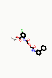 COC(=O)c1cc(Cl)ccc1NC(=O)COCC(=O)Nc1cccc(C2CCCCC2)c1